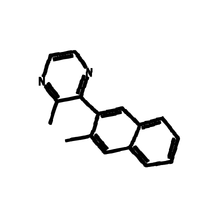 Cc1cc2ccccc2cc1-c1nccnc1C